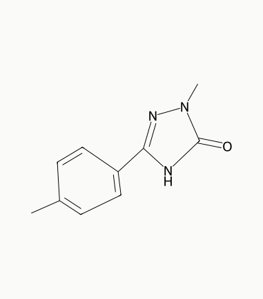 Cc1ccc(-c2nn(C)c(=O)[nH]2)cc1